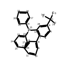 FC(F)(F)c1ccc(-c2ccccc2)c(P(c2ccccc2)c2ccccc2)c1